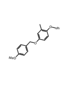 CCCOc1ccc(OCc2ccc(OC)cc2)cc1C